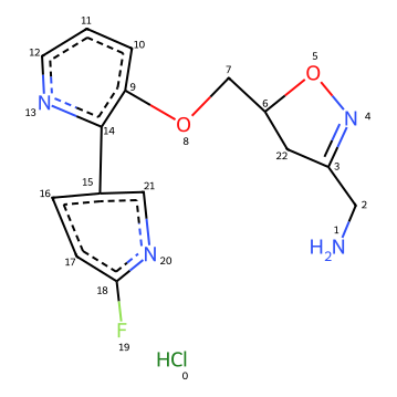 Cl.NCC1=NOC(COc2cccnc2-c2ccc(F)nc2)C1